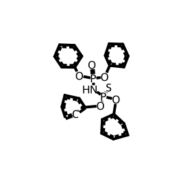 O=P(NP(=S)(Oc1ccccc1)Oc1ccccc1)(Oc1ccccc1)Oc1ccccc1